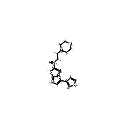 c1cc(-c2cnc3sc(NCCN4CCOCC4)nn23)cs1